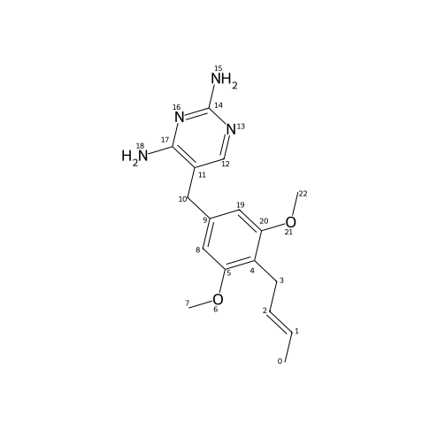 CC=CCc1c(OC)cc(Cc2cnc(N)nc2N)cc1OC